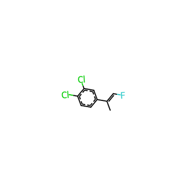 CC(=CF)c1ccc(Cl)c(Cl)c1